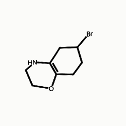 BrC1CCC2=C(C1)NCCO2